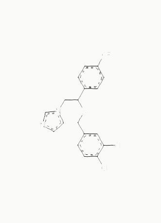 FC(F)(F)c1ccc(C(Cn2ccnc2)SCc2ccc(Cl)c(Cl)c2)cc1